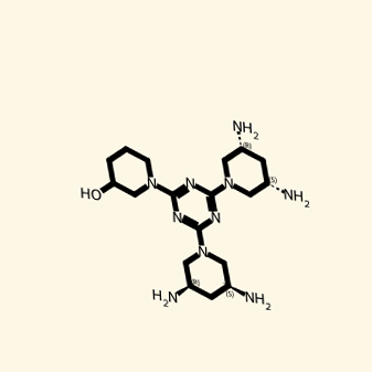 N[C@@H]1C[C@H](N)CN(c2nc(N3CCCC(O)C3)nc(N3C[C@H](N)C[C@H](N)C3)n2)C1